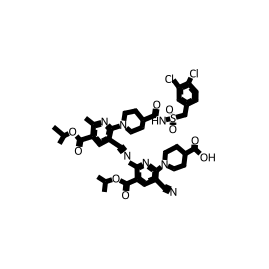 Cc1nc(N2CCC(C(=O)NS(=O)(=O)Cc3ccc(Cl)c(Cl)c3)CC2)c(C#N)cc1C(=O)OC(C)C.Cc1nc(N2CCC(C(=O)O)CC2)c(C#N)cc1C(=O)OC(C)C